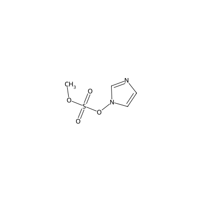 COS(=O)(=O)On1ccnc1